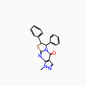 Cn1ncc2c(=O)n3c(nc21)SC(c1ccccc1)C3c1ccccc1